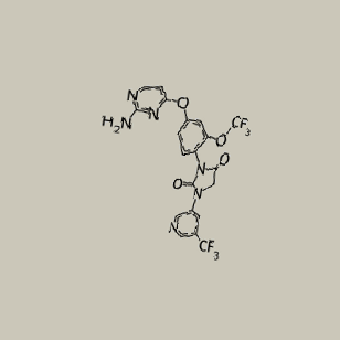 Nc1nccc(Oc2ccc(N3C(=O)CN(c4cncc(C(F)(F)F)c4)C3=O)c(OC(F)(F)F)c2)n1